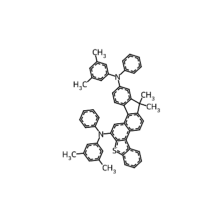 Cc1cc(C)cc(N(c2ccccc2)c2ccc3c(c2)C(C)(C)c2ccc4c(cc(N(c5ccccc5)c5cc(C)cc(C)c5)c5sc6ccccc6c54)c2-3)c1